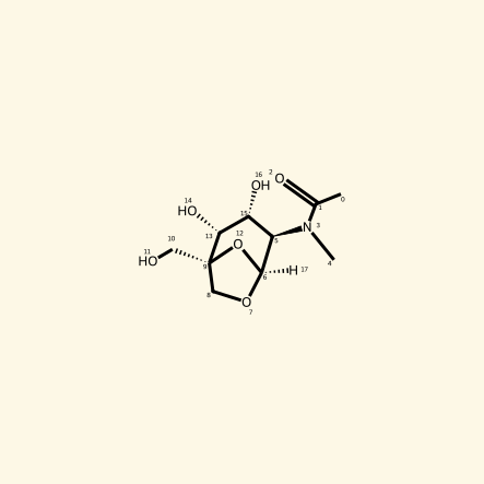 CC(=O)N(C)[C@H]1[C@H]2OC[C@](CO)(O2)[C@H](O)[C@@H]1O